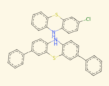 Clc1ccc2c(c1)Sc1ccccc1N2.c1ccc(-c2ccc3c(c2)Sc2cc(-c4ccccc4)ccc2N3)cc1